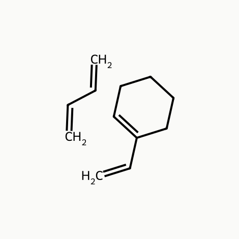 C=CC1=CCCCC1.C=CC=C